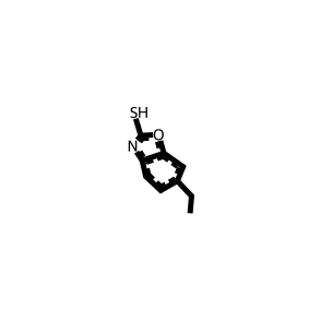 CCc1ccc2nc(S)oc2c1